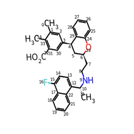 Cc1cc([C@@H]2C[C@H](CCN[C@H](C)c3ccc(F)c4ccccc34)Oc3ccccc32)cc(C(=O)O)c1C